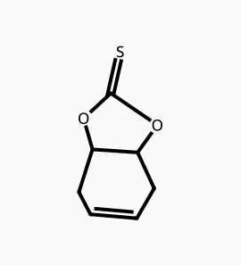 S=C1OC2CC=CCC2O1